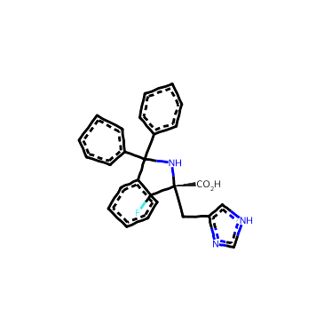 O=C(O)[C@](CF)(Cc1c[nH]cn1)NC(c1ccccc1)(c1ccccc1)c1ccccc1